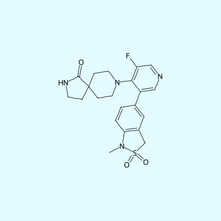 CN1c2ccc(-c3cncc(F)c3N3CCC4(CCNC4=O)CC3)cc2CS1(=O)=O